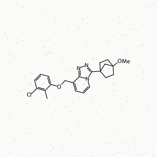 COC12CCC(c3nnc4c(COc5cccc(Cl)c5C)cccn34)(CC1)C2